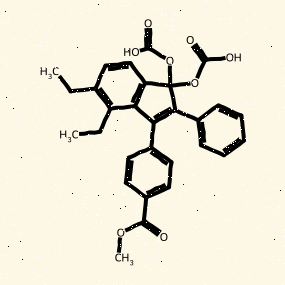 CCc1ccc2c(c1CC)C(c1ccc(C(=O)OC)cc1)=C(c1ccccc1)C2(OC(=O)O)OC(=O)O